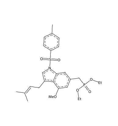 CCOP(=O)(Cc1cc(OC)c2c(CC=C(C)C)cn(S(=O)(=O)c3ccc(C)cc3)c2c1)OCC